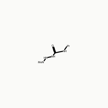 CNNNC(=O)NC(C)C